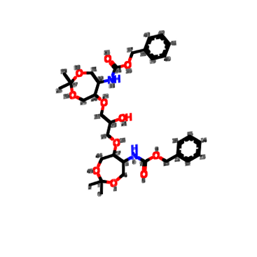 CC1(C)OCC(NC(=O)OCc2ccccc2)C(OCC(O)COC2COC(C)(C)OCC2NC(=O)OCc2ccccc2)CO1